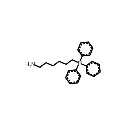 NCCCCCC[P+](c1ccccc1)(c1ccccc1)c1ccccc1